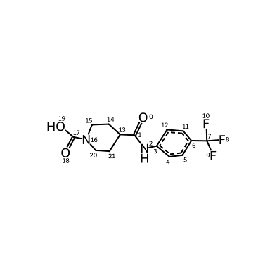 O=C(Nc1ccc(C(F)(F)F)cc1)C1CCN(C(=O)O)CC1